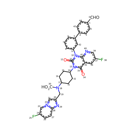 O=Cc1ccc(-c2cccc(-n3c(=O)n(C4CCC(N(Cc5cn6cc(F)ccc6n5)C(=O)O)CC4)c(=O)c4cc(F)cnc43)c2)cc1